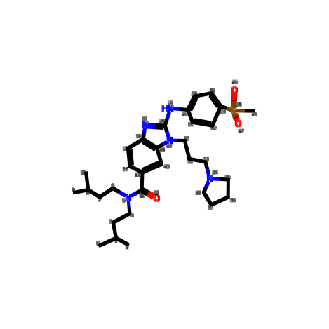 CC(C)CCN(CCC(C)C)C(=O)c1ccc2nc(Nc3ccc(S(C)(=O)=O)cc3)n(CCCN3CCCC3)c2c1